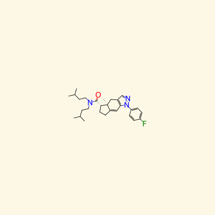 CC(C)CCN(CCC(C)C)C(=O)[C@H]1CCC2=Cc3c(cnn3-c3ccc(F)cc3)C[C@@]21C